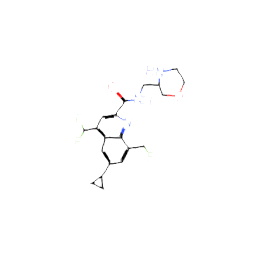 O=C(NCC1COCCN1)c1cc(C(F)F)c2cc(C3CC3)cc(CF)c2n1